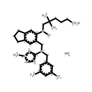 CCN(CC(C)(C)CCCC(=O)O)c1cc2c(cc1CN(Cc1cc(C(F)(F)F)cc(C(F)(F)F)c1)c1nnn(C)n1)CCC2.Cl